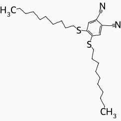 CCCCCCCCCCSc1cc(C#N)c(C#N)cc1SCCCCCCCCCC